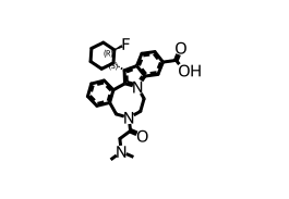 CN(C)CC(=O)N1CCn2c(c([C@@H]3CCCC[C@H]3F)c3ccc(C(=O)O)cc32)-c2ccccc2C1